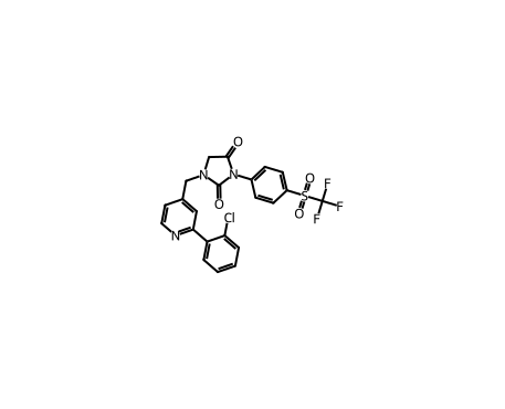 O=C1CN(Cc2ccnc(-c3ccccc3Cl)c2)C(=O)N1c1ccc(S(=O)(=O)C(F)(F)F)cc1